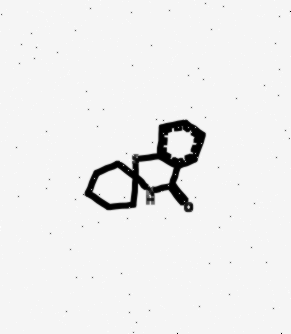 O=C1NC2(CCCCC2)Sc2ccccc21